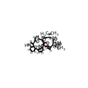 CC(C)[C@@H]1NC(=O)[C@@H](NS(C)(=O)=O)Cc2ccc3c(c2)C24c5cccc(c5NC2O3)-c2cccc3[nH]cc(c23)-c2cnc(o2)-c2nc1oc24